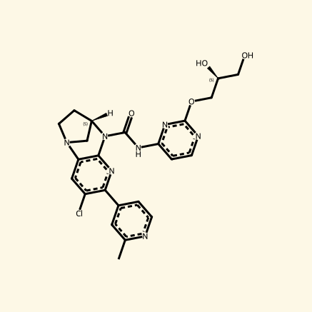 Cc1cc(-c2nc3c(cc2Cl)N2CC[C@@H](C2)N3C(=O)Nc2ccnc(OC[C@@H](O)CO)n2)ccn1